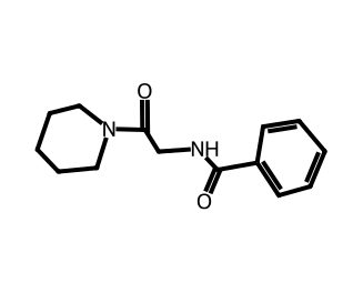 O=C(NCC(=O)N1CCCCC1)c1ccccc1